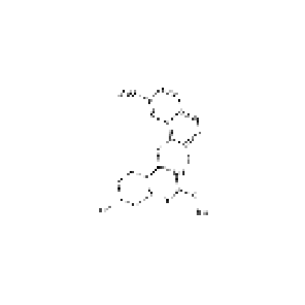 COc1ccc2ncc(F)c(CC(NC(=O)OC(C)(C)C)[C@@H]3CC[C@@H](N)CO3)c2c1